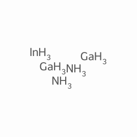 N.N.[GaH3].[GaH3].[InH3]